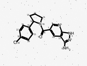 Nc1n[nH]c2ncc(C(=O)N3CCCC3c3ccc(Cl)cc3)cc12